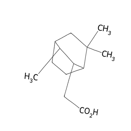 CC1C2CCC(C1CC(=O)O)C(C)(C)C2